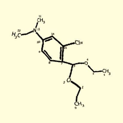 CCOC(OCC)c1ccc(N(C)C)cc1Cl